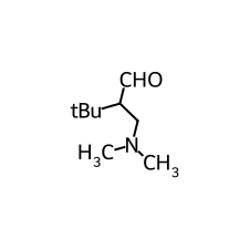 CN(C)CC(C=O)C(C)(C)C